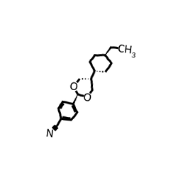 CC[C@H]1CC[C@H]([C@H]2CO[C@H](c3ccc(C#N)cc3)OC2)CC1